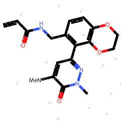 C=CC(=O)NCc1ccc2c(c1-c1cc(NC)c(=O)n(C)n1)OCCO2